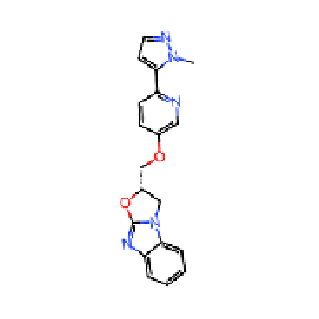 Cn1nccc1-c1ccc(OC[C@@H]2Cn3c(nc4ccccc43)O2)cn1